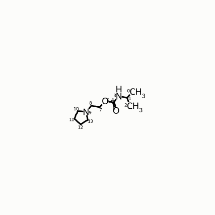 CC(C)NC(=O)OCCN1CCCC1